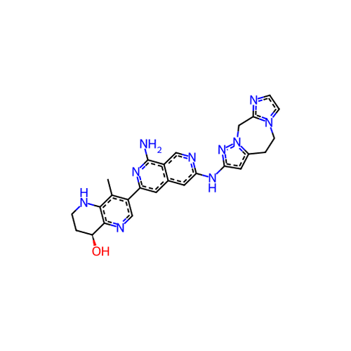 Cc1c(-c2cc3cc(Nc4cc5n(n4)Cc4nccn4CC5)ncc3c(N)n2)cnc2c1NCC[C@@H]2O